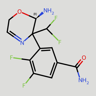 NC(=O)c1cc(F)c(F)c(C2(C(F)F)N=CCO[C@H]2N)c1